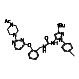 CC(=O)N1CCN(c2nccc(Oc3ccccc3CNC(=O)Nc3cc(C(C)(C)C)nn3-c3ccc(C)cc3)n2)CC1